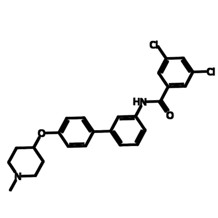 CN1CCC(Oc2ccc(-c3cccc(NC(=O)c4cc(Cl)cc(Cl)c4)c3)cc2)CC1